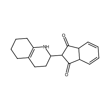 O=C1C2C=CC=CC2C(=O)C1C1CCC2=C(CCCC2)N1